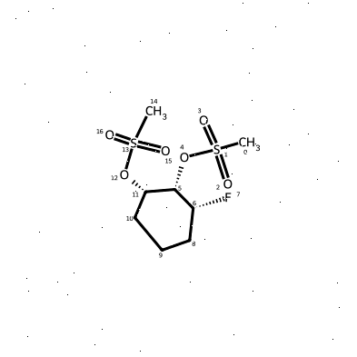 CS(=O)(=O)O[C@@H]1[C@H](F)CCC[C@@H]1OS(C)(=O)=O